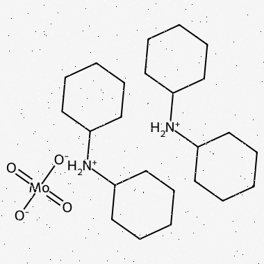 C1CCC([NH2+]C2CCCCC2)CC1.C1CCC([NH2+]C2CCCCC2)CC1.[O]=[Mo](=[O])([O-])[O-]